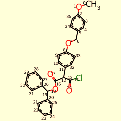 COc1ccc(COc2ccc(C(C(=O)Cl)C(=O)OC(c3ccccc3)c3ccccc3)cc2)cc1